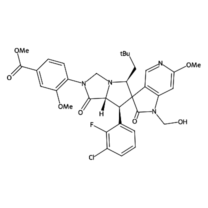 COC(=O)c1ccc(N2CN3[C@@H](CC(C)(C)C)C4(C(=O)N(CO)c5cc(OC)ncc54)[C@@H](c4cccc(Cl)c4F)[C@@H]3C2=O)c(OC)c1